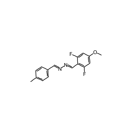 COc1cc(F)c(C=NN=Cc2ccc(C)cc2)c(F)c1